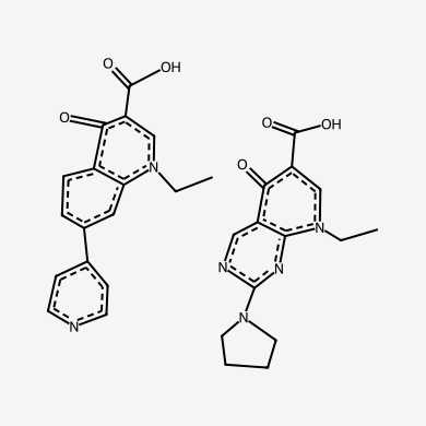 CCn1cc(C(=O)O)c(=O)c2ccc(-c3ccncc3)cc21.CCn1cc(C(=O)O)c(=O)c2cnc(N3CCCC3)nc21